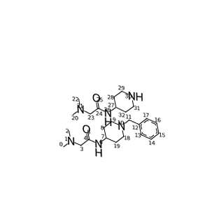 CN(C)CC(=O)NC1CCN(Cc2ccccc2)CC1.CN(C)CC(=O)NC1CCNCC1